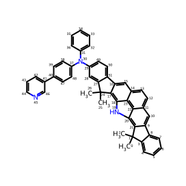 CC1(C)c2ccccc2-c2cc3ccc4cc5c(c6[nH]c(c21)c3c46)C(C)(C)c1cc(N(c2ccccc2)c2ccc(-c3cccnc3)cc2)ccc1-5